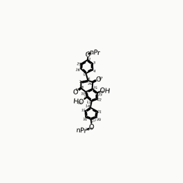 CCCOc1ccc(C2=CC(=O)c3c(O)c(-c4ccc(OCCC)cc4)cc(O)c3C2=O)cc1